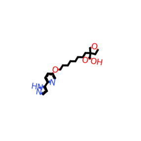 O=C(O)C1(CCCCCCCCOc2ccc(-c3ccn[nH]3)nc2)CCOC1